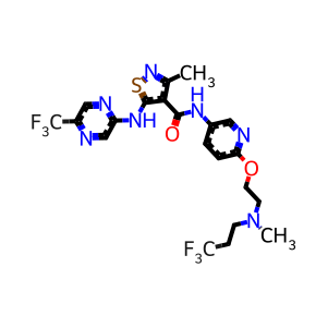 Cc1nsc(Nc2cnc(C(F)(F)F)cn2)c1C(=O)Nc1ccc(OCCN(C)CCC(F)(F)F)nc1